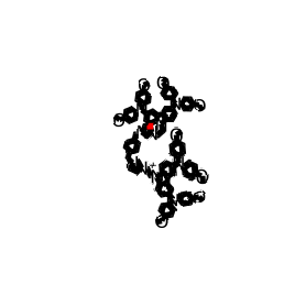 COc1ccc(N(c2ccc(OC)cc2)c2ccc3c(c2)c2cc(N(c4ccc(OC)cc4)c4ccc(OC)cc4)ccc2n3CC[n+]2ccn(Cc3ccc(Cn4cc[n+](CCn5c6ccc(N(c7ccc(OC)cc7)c7ccc(OC)cc7)cc6c6cc(N(c7ccc(OC)cc7)c7ccc(OC)cc7)ccc65)c4)cc3)c2)cc1